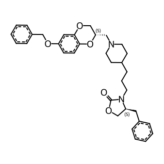 O=C1OC[C@H](Cc2ccccc2)N1CCCC1CCN(C[C@H]2COc3cc(OCc4ccccc4)ccc3O2)CC1